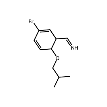 CC(C)COC1C=CC(Br)=CC1C=N